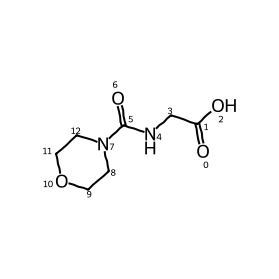 O=C(O)CNC(=O)N1CCOCC1